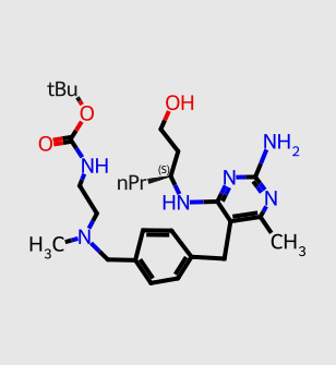 CCC[C@@H](CCO)Nc1nc(N)nc(C)c1Cc1ccc(CN(C)CCNC(=O)OC(C)(C)C)cc1